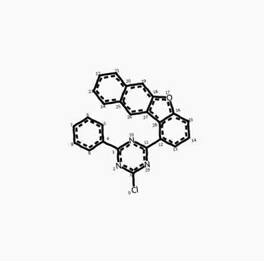 Clc1nc(-c2ccccc2)nc(-c2cccc3oc4cc5ccccc5cc4c23)n1